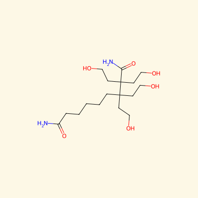 NC(=O)CCCCCC(CCO)(CCO)C(CCO)(CCO)C(N)=O